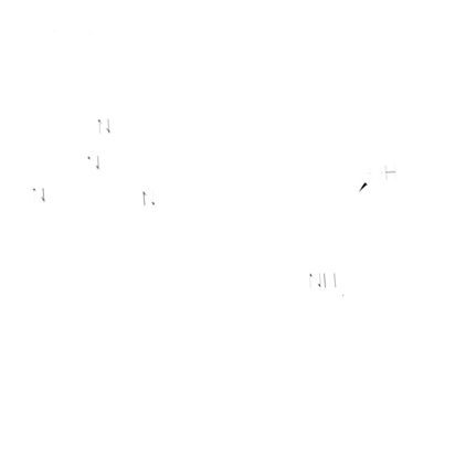 N[C@]1(c2ccc(-c3nc4c(cnc5cc(C6CC6)nn54)cc3-c3ccccc3)cc2)C[C@@H](O)C1